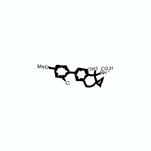 COc1ccc(-c2ccc3c(c2)CCC2(CC2)C3(C=O)NC(=O)O)c(Cl)c1